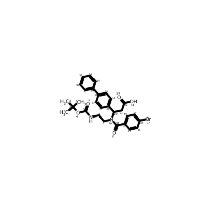 CC(C)(C)OC(=O)NCCN(C(=O)c1ccc(Br)cc1)C(CC(=O)O)c1ccc(-c2ccccc2)cc1